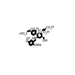 COc1ccc(OC(F)(F)F)cc1CN[C@H]1C[C@@H](CO)CN[C@H]1c1ccccc1.O=C(O)/C=C/C(=O)O.O=C(O)/C=C/C(=O)O